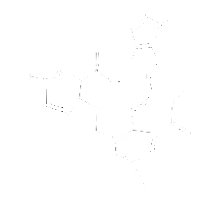 C[C@H](Nc1ccc(Cl)nc1C(=O)O)c1cc(F)cc2c(=O)n(C)c(N3Cc4cnn(C)c4C3)nc12